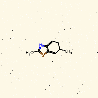 Cc1nc2c(s1)=CC(C)CC=2